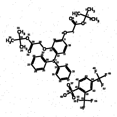 CC(C)(C)OC(=O)COc1ccc([S+](c2ccccc2)c2ccccc2)c(OCC(=O)OC(C)(C)C)c1.O=S(=O)([O-])c1ccc(C(F)(F)F)cc1C(F)(F)F